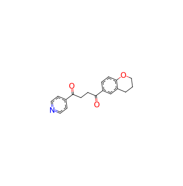 O=C(CCC(=O)c1ccc2c(c1)CCCO2)c1ccncc1